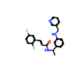 CC(NC(=O)C=Cc1cc(F)ccc1F)c1cccc(NCc2cccnc2)c1